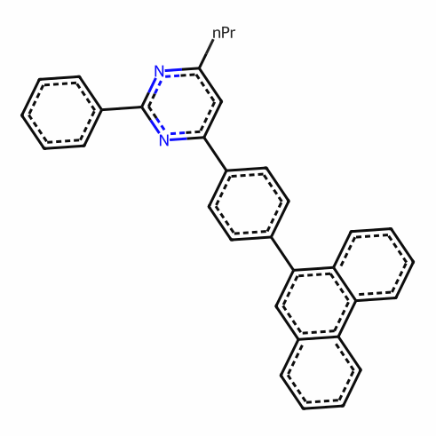 CCCc1cc(-c2ccc(-c3cc4ccccc4c4ccccc34)cc2)nc(-c2ccccc2)n1